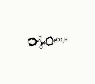 O=C(O)N1CCN(C(=O)Nc2ccccc2)CC1